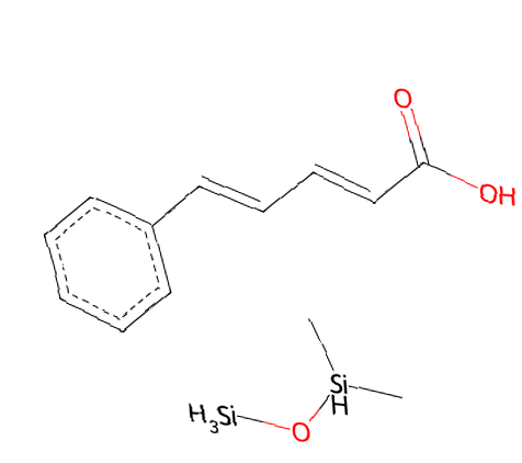 C[SiH](C)O[SiH3].O=C(O)C=CC=Cc1ccccc1